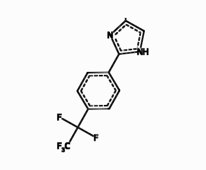 FC(F)(F)C(F)(F)c1ccc(-c2n[c]c[nH]2)cc1